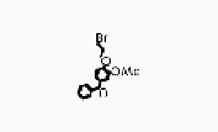 COc1cc(C(=O)c2ccccc2)ccc1OCCCBr